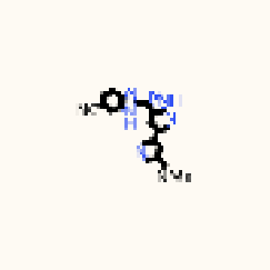 CNCc1cncc(-c2cnc3[nH]nc(-c4nc5ccc(C#N)cc5[nH]4)c3c2)c1